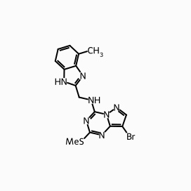 CSc1nc(NCc2nc3c(C)cccc3[nH]2)n2ncc(Br)c2n1